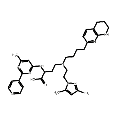 Cc1cc(NC(CCN(CCCCc2ccc3c(n2)NCCC3)CCn2nc(C)cc2C)C(=O)O)nc(-c2ccncc2)n1